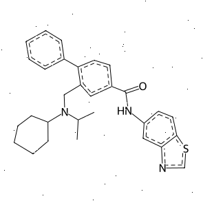 CC(C)N(Cc1cc(C(=O)Nc2ccc3scnc3c2)ccc1-c1ccccc1)C1CCCCC1